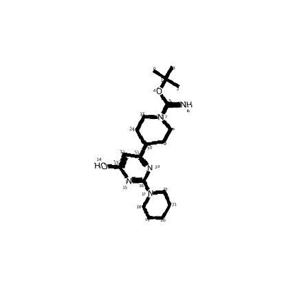 CC(C)(C)OC(=N)N1CCC(c2cc(O)nc(N3CCCCC3)n2)CC1